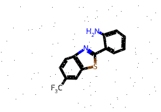 Nc1ccccc1-c1nc2ccc(C(F)(F)F)cc2s1